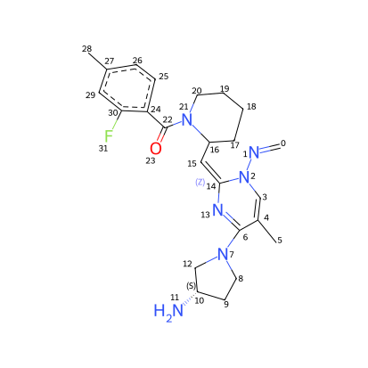 C=NN1C=C(C)C(N2CC[C@H](N)C2)=N/C1=C/C1CCCCN1C(=O)c1ccc(C)cc1F